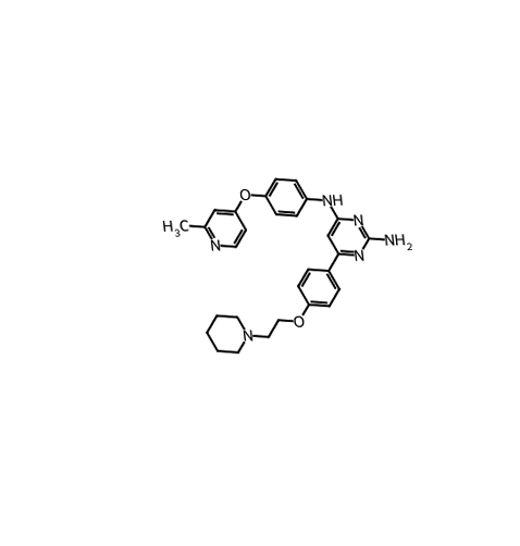 Cc1cc(Oc2ccc(Nc3cc(-c4ccc(OCCN5CCCCC5)cc4)nc(N)n3)cc2)ccn1